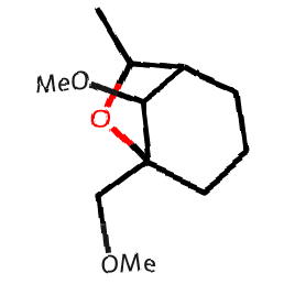 COCC12CCCC(C(C)O1)C2OC